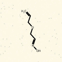 C=CCOCC=NO